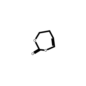 O=C1OC=CCCO1